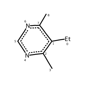 CCc1c(C)ncnc1C